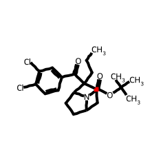 CCCC1(C(=O)c2ccc(Cl)c(Cl)c2)CCC2CCC1N2C(=O)OC(C)(C)C